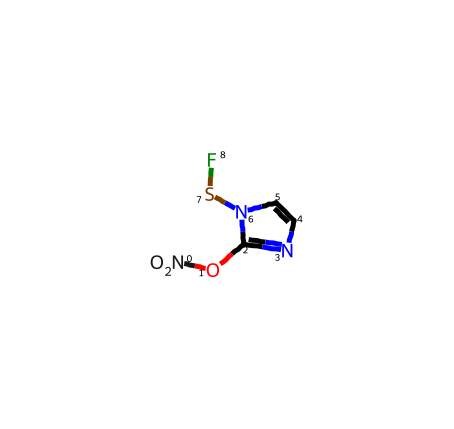 O=[N+]([O-])Oc1nccn1SF